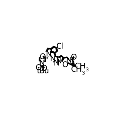 CC(C)(C)OC(=O)N1CCO[C@H](Cn2ccc3cc(Cl)cc(-c4ncnn5cc(CN6C(=O)C7C(C6=O)C7(C)C)cc45)c32)C1